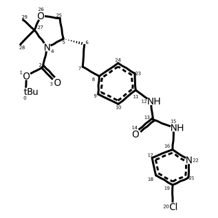 CC(C)(C)OC(=O)N1[C@@H](CCc2ccc(NC(=O)Nc3ccc(Cl)cn3)cc2)COC1(C)C